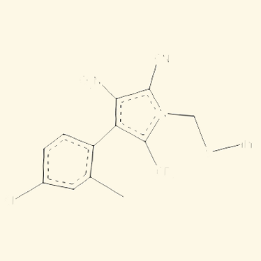 Cc1cc(Cl)ccc1-c1c([N+](=O)[O-])c(C#N)n(CSC(C)C)c1C(F)(F)F